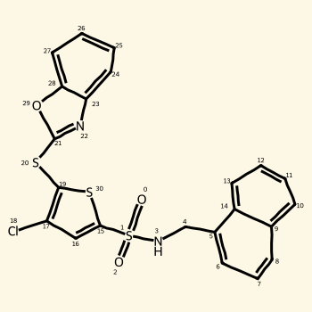 O=S(=O)(NCc1cccc2ccccc12)c1cc(Cl)c(Sc2nc3ccccc3o2)s1